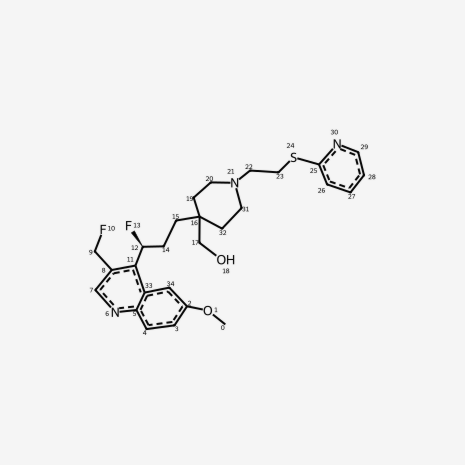 COc1ccc2ncc(CF)c([C@@H](F)CCC3(CO)CCN(CCSc4ccccn4)CC3)c2c1